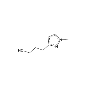 Cn1ccc(CCCO)n1